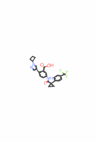 O=C(O)c1cc(NC(=O)C2(c3ccc(C(F)(F)F)cc3)CC2)ccc1-c1cnn(C2CCC2)c1